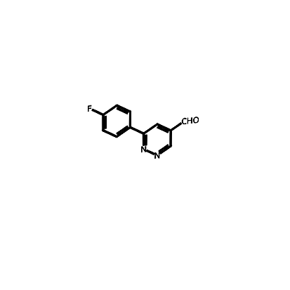 O=Cc1cnnc(-c2ccc(F)cc2)c1